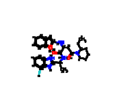 CC[C@H]1CCCCN1C(=O)C[C@H](Nc1cc2ccccc2o1)C(=O)N[C@@H](C)c1nc2c(F)cccc2[nH]1